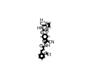 CCOc1ccccc1CCC(=O)Nc1sc2c(c1C#N)CCC(OC(=O)NC(C)c1ncc[nH]1)C2